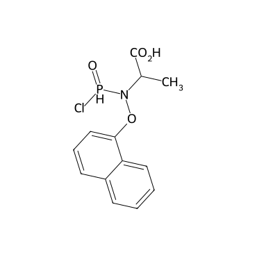 CC(C(=O)O)N(Oc1cccc2ccccc12)[PH](=O)Cl